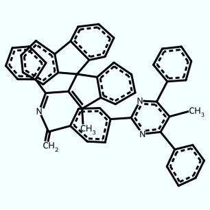 C=C(/N=C(\C1=C(C)c2ccccc2C12c1ccccc1-c1ccccc12)c1ccccc1)c1ccc(-c2nc(-c3ccccc3)c(C)c(-c3ccccc3)n2)cc1